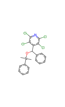 C[Si](C)(OC(c1ccccc1)c1c(Cl)c(Cl)nc(Cl)c1Cl)c1ccccc1